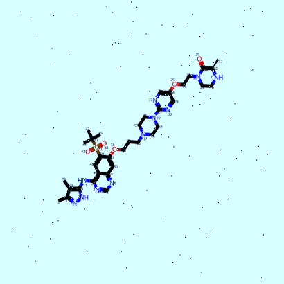 Cc1n[nH]c(Nc2ncnc3cc(OCCCN4CCN(c5ncc(OCCN6CCN[C@H](C)C6=O)cn5)CC4)c(S(=O)(=O)C(C)(C)C)cc23)c1C